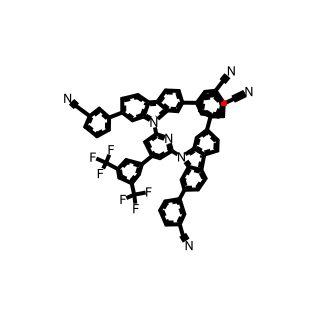 N#Cc1cccc(-c2ccc3c4ccc(-c5cccc(C#N)c5)cc4n(-c4cc(-c5cc(C(F)(F)F)cc(C(F)(F)F)c5)cc(-n5c6cc(-c7cccc(C#N)c7)ccc6c6ccc(-c7cccc(C#N)c7)cc65)n4)c3c2)c1